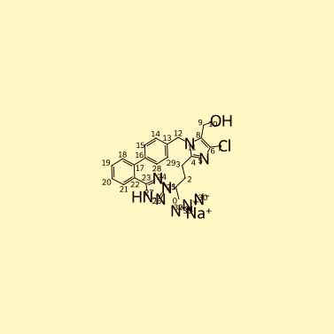 CCCCc1nc(Cl)c(CO)n1Cc1ccc(-c2ccccc2-c2nnn[nH]2)cc1.[N-]=[N+]=[N-].[Na+]